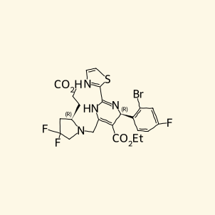 CCOC(=O)C1=C(CN2CC(F)(F)C[C@H]2CCC(=O)O)NC(c2nccs2)=N[C@H]1c1ccc(F)cc1Br